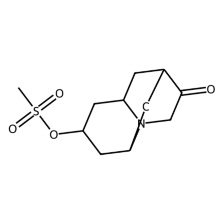 CS(=O)(=O)OC1CC2CC3CC(C1)N2CC3=O